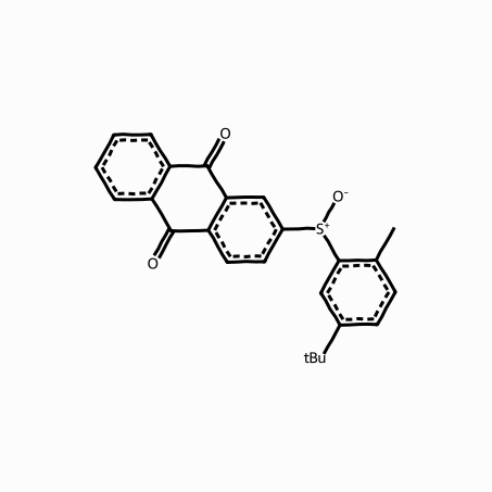 Cc1ccc(C(C)(C)C)cc1[S+]([O-])c1ccc2c(c1)C(=O)c1ccccc1C2=O